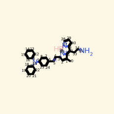 CC1=CC(/C=C/c2ccc(N(c3ccccc3)c3ccccc3)cc2)=[N+]2Bn3cccc3C(CCN)=C12